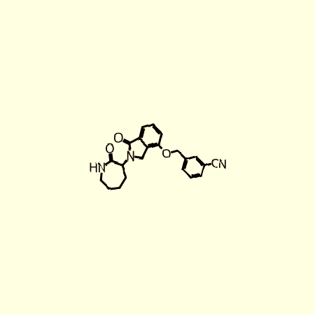 N#Cc1cccc(COc2cccc3c2CN(C2CCCCNC2=O)C3=O)c1